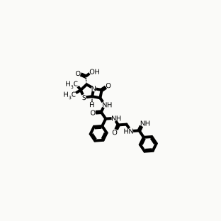 CC1(C)S[C@@H]2C(NC(=O)C(NC(=O)CNC(=N)c3ccccc3)c3ccccc3)C(=O)N2[C@H]1C(=O)O